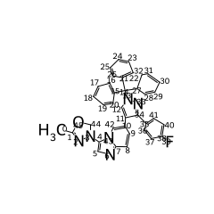 CC1=NN(c2cnc3ccc(-c4cn(C(c5ccccc5)(c5ccccc5)C5C=CC=CC5)nc4-c4ccc(F)cc4)cn23)CO1